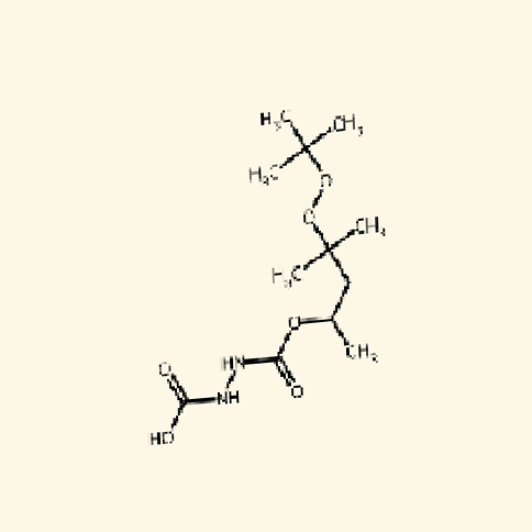 CC(CC(C)(C)OOC(C)(C)C)OC(=O)NNC(=O)O